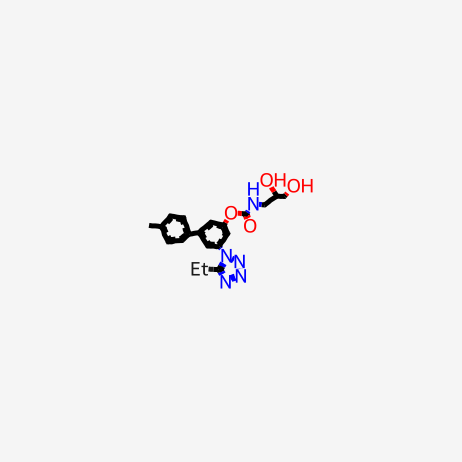 CCc1nnnn1-c1cc(OC(=O)NCC(O)CO)cc(-c2ccc(C)cc2)c1